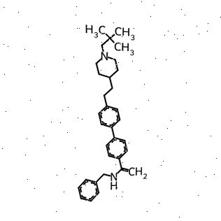 C=C(NCc1ccccc1)c1ccc(-c2ccc(CCC3CCN(CC(C)(C)C)CC3)cc2)cc1